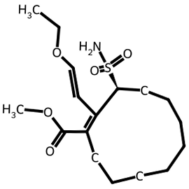 CCO/C=C/C1=C(\C(=O)OC)CCCCCCCC[C@@H]1S(N)(=O)=O